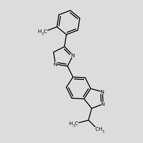 Cc1ccccc1C1=NC(c2ccc3c(c2)N=NC3C(C)C)=NC1